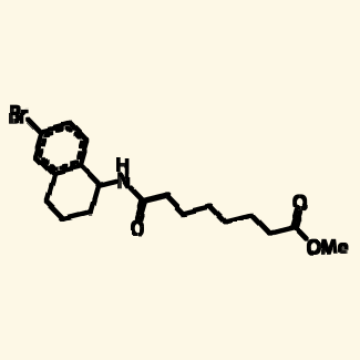 COC(=O)CCCCCCC(=O)NC1CCCc2cc(Br)ccc21